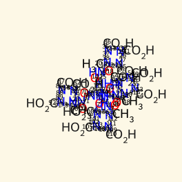 CC(C(=O)NCC(=O)NCC(CNC(=O)CNC(=O)C(C)N1CCN(CC(=O)O)CCN(CC(=O)O)CCN(CC(=O)O)CC1)(CNC(=O)CNC(=O)C(C)N1CCN(CC(=O)O)CCN(CC(=O)O)CCN(CC(=O)O)CC1)CNC(=O)CNC(=O)C(C)N1CCN(CC(=O)O)CCN(CC(=O)O)CCN(CC(=O)O)CC1)N1CCN(CC(=O)O)CCN(CC(=O)O)CCN(CC(=O)O)CC1